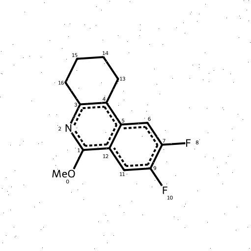 COc1nc2c(c3cc(F)c(F)cc13)[CH]CCC2